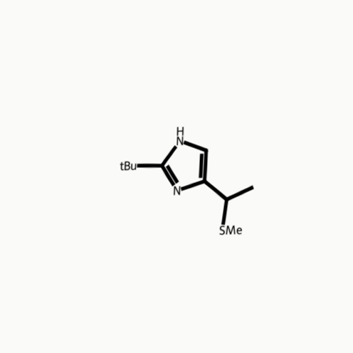 CSC(C)c1c[nH]c(C(C)(C)C)n1